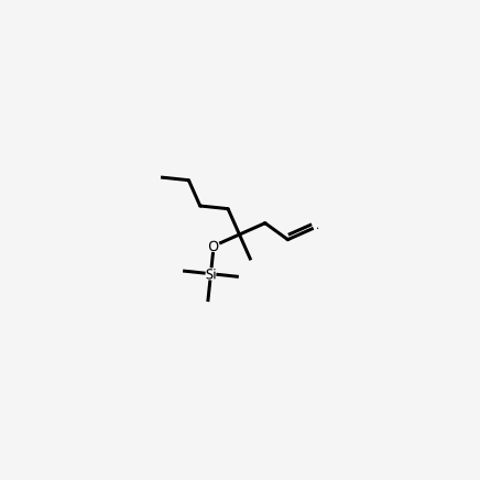 [CH]=CCC(C)(CCCC)O[Si](C)(C)C